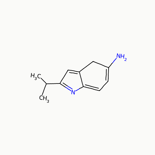 CC(C)C1=NC2=CC=C(N)CC2=C1